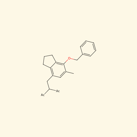 CC(=O)C(Cc1cc(C)c(OCc2ccccc2)c2c1CCC2)C(C)=O